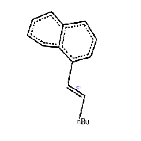 [CH2]CCC/C=C/c1cccc2ccccc12